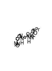 CCCOC(=O)c1sc(NC(=O)C2CC(Nc3nccc4ccc(-c5noc(C)n5)cc34)C2)nc1C